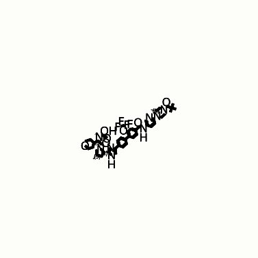 C[C@H]1C[C@@H](c2nc(-c3ccc(-c4ccc(C(=O)Nc5ccc(N6CCN(C(=O)C(C)(C)C)C[C@H]6C)nc5)c(F)c4OC(F)(F)F)cc3)c[nH]2)N(C(=O)[C@H](C2CCOCC2)N(C)C(=O)O)C1